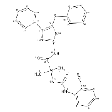 CC(C)(NC(=O)Nc1ccccc1Cl)C(=O)Nc1nc(-c2ccccc2)c(Cc2ccccc2)s1